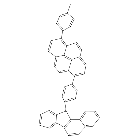 Cc1ccc(-c2ccc3ccc4c(-c5ccc(-n6c7ccccc7c7ccc8ccccc8c76)cc5)ccc5ccc2c3c54)cc1